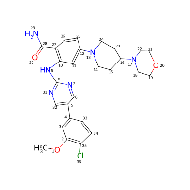 COc1cc(-c2cnc(Nc3cc(N4CCC(N5CCOCC5)CC4)ccc3C(N)=O)nc2)ccc1Cl